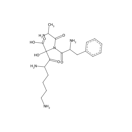 CC(N)C(=O)N(C(=O)C(N)Cc1ccccc1)C(O)(C(=O)O)C(=O)C(N)CCCCN